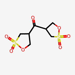 O=C(C1COS(=O)(=O)C1)C1COS(=O)(=O)C1